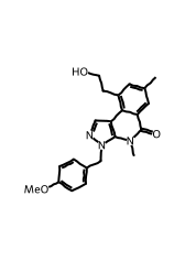 COc1ccc(Cn2ncc3c4c(CCO)cc(C)cc4c(=O)n(C)c32)cc1